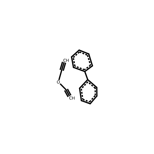 C#COC#C.c1ccc(-c2ccccc2)cc1